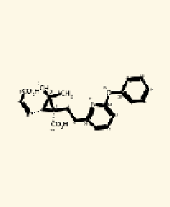 CC1(C)[C@@H](/C=C\C(=O)O)[C@@]1(CCc1cccc(Oc2ccccc2)n1)C(=O)O